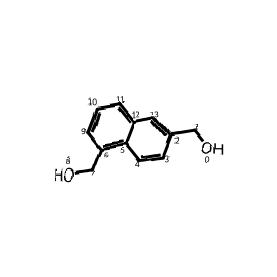 OCc1ccc2c(CO)cccc2c1